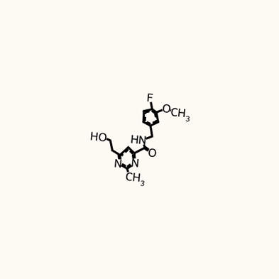 COc1cc(CNC(=O)c2cc(CCO)nc(C)n2)ccc1F